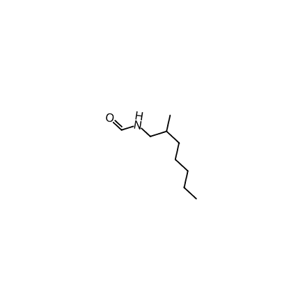 CCCCCC(C)CNC=O